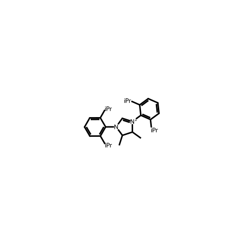 CC(C)c1cccc(C(C)C)c1N1C=[N+](c2c(C(C)C)cccc2C(C)C)C(C)C1C